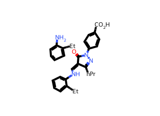 CCCC1=NN(c2ccc(C(=O)O)cc2)C(=O)/C1=C/Nc1ccccc1CC.CCc1ccccc1N